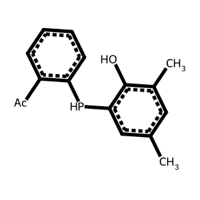 CC(=O)c1ccccc1Pc1cc(C)cc(C)c1O